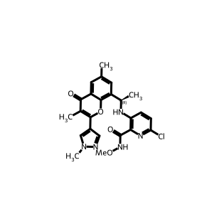 CONC(=O)c1nc(Cl)ccc1N[C@H](C)c1cc(C)cc2c(=O)c(C)c(-c3cnn(C)c3)oc12